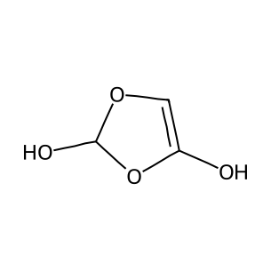 OC1=COC(O)O1